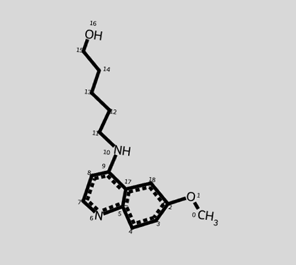 COc1ccc2nccc(NCCCCCO)c2c1